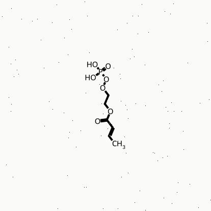 CC=CC(=O)OCCOOP(=O)(O)O